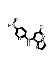 CC(C)Nc1ccc(Nc2cc(Cl)nn3ccnc23)nc1